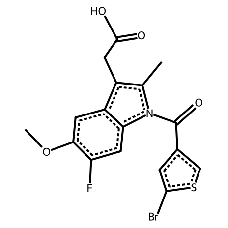 COc1cc2c(CC(=O)O)c(C)n(C(=O)c3csc(Br)c3)c2cc1F